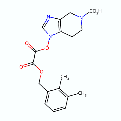 Cc1cccc(COC(=O)C(=O)On2cnc3c2CCN(C(=O)O)C3)c1C